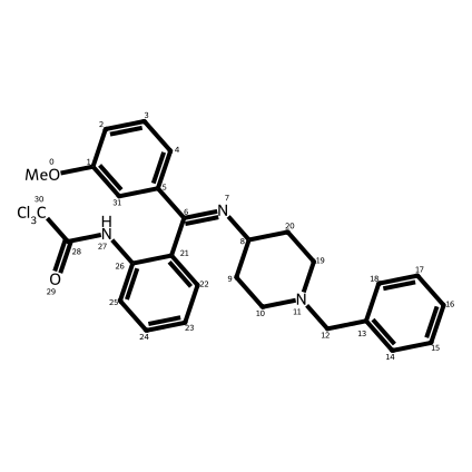 COc1cccc(C(=NC2CCN(Cc3ccccc3)CC2)c2ccccc2NC(=O)C(Cl)(Cl)Cl)c1